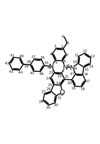 CCc1ccc2c(c1)n1n3c4ccccc4c4cccc(c5c-1c(cc1c6ccccc6oc15)n2-c1ccc(-c2ccccc2)cc1)c43